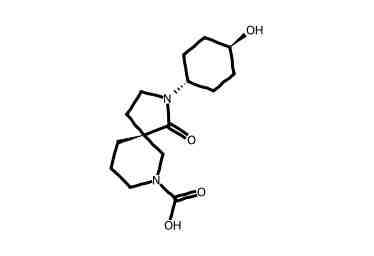 O=C(O)N1CCC[C@]2(CCN([C@H]3CC[C@H](O)CC3)C2=O)C1